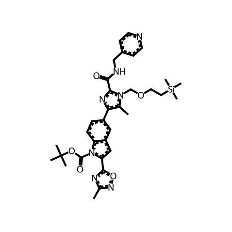 Cc1noc(-c2cc3cc(-c4nc(C(=O)NCc5ccncc5)n(COCC[Si](C)(C)C)c4C)ccc3n2C(=O)OC(C)(C)C)n1